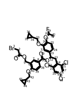 O=C(CBr)OCc1cc(C(=O)OC(Cc2c(Cl)c[n+]([O-])cc2Cl)c2ccc(OC(F)F)c(OCC3CC3)c2)ccc1OCC1CC1